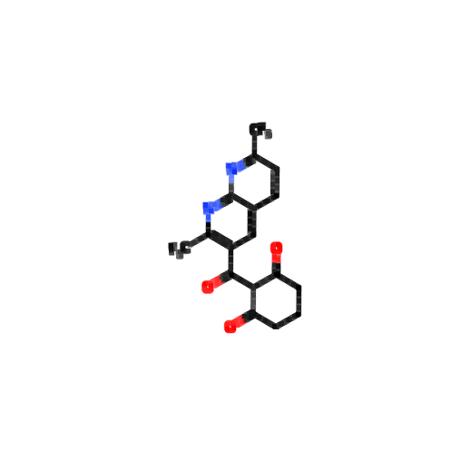 O=C1CCCC(=O)C1C(=O)c1cc2ccc(C(F)(F)F)nc2nc1C(F)(F)F